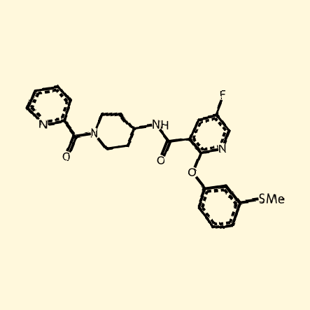 CSc1cccc(Oc2ncc(F)cc2C(=O)NC2CCN(C(=O)c3ccccn3)CC2)c1